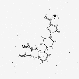 COc1cc2ncnc(N3CCC(c4nc(C(N)=O)cs4)CC3)c2cc1OC